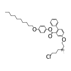 CCCCCCCCCCOc1ccc(OC(=O)c2cc(OCC[C@H](C)CCCCl)ccc2-c2ccccc2)cc1